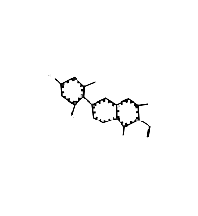 O=Cc1c(F)cc2cc(-c3c(O)cc(O)cc3O)ccc2c1F